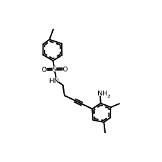 Cc1ccc(S(=O)(=O)NCCC#Cc2cc(C)cc(C)c2N)cc1